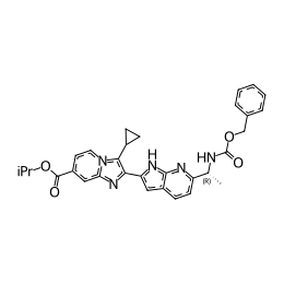 CC(C)OC(=O)c1ccn2c(C3CC3)c(-c3cc4ccc([C@@H](C)NC(=O)OCc5ccccc5)nc4[nH]3)nc2c1